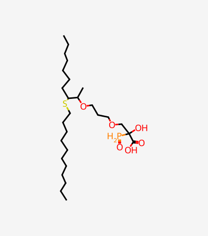 CCCCCCCCCCCSC(CCCCCCC)C(C)OCCCOCC(O)([PH2]=O)C(=O)O